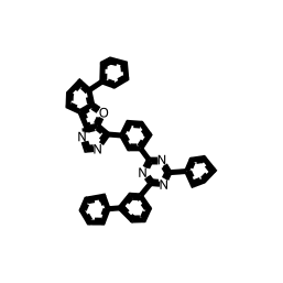 c1ccc(-c2cccc(-c3nc(-c4ccccc4)nc(-c4cccc(-c5ncnc6c5oc5c(-c7ccccc7)cccc56)c4)n3)c2)cc1